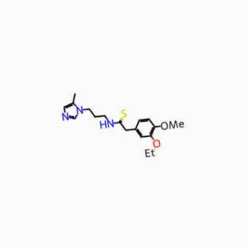 CCOc1cc(CC(=S)NCCCn2cncc2C)ccc1OC